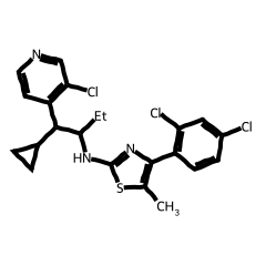 CCC(Nc1nc(-c2ccc(Cl)cc2Cl)c(C)s1)C(c1ccncc1Cl)C1CC1